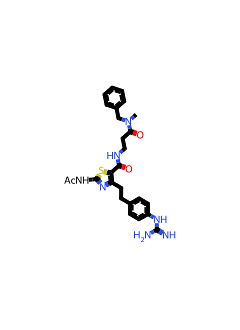 CC(=O)Nc1nc(CCc2ccc(NC(=N)N)cc2)c(C(=O)NCCC(=O)N(C)Cc2ccccc2)s1